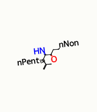 C=C(C)[C@H](CCCCC)C(=N)C(=O)CCCCCCCCCCC